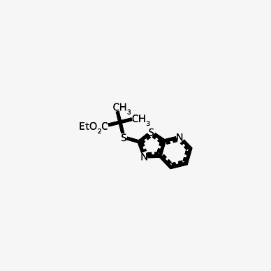 CCOC(=O)C(C)(C)Sc1nc2cccnc2s1